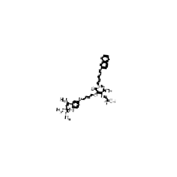 CC1=CC(C)(C)Nc2ccc(OCCCCOC(C(=O)NCCCCCc3ccc4ccccc4c3)C(OCC(=O)O)C(=O)O)cc21